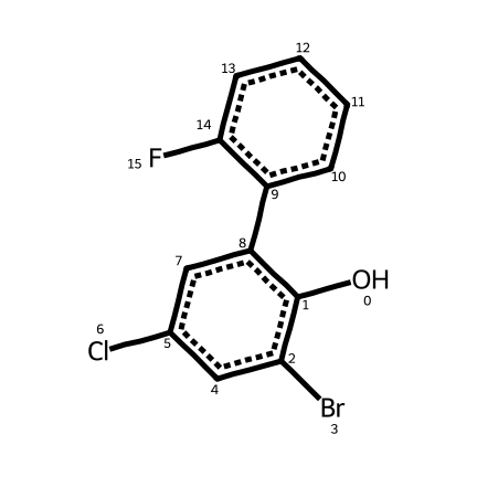 Oc1c(Br)cc(Cl)cc1-c1ccccc1F